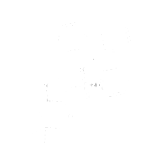 N[S@@](=O)(=NC(c1ccccc1)(c1ccccc1)c1ccccc1)c1cnn2c1OCC1(CC1)C2